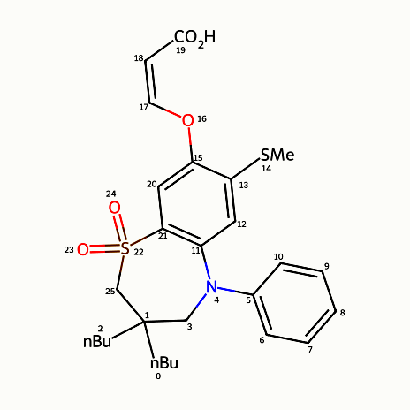 CCCCC1(CCCC)CN(c2ccccc2)c2cc(SC)c(O/C=C\C(=O)O)cc2S(=O)(=O)C1